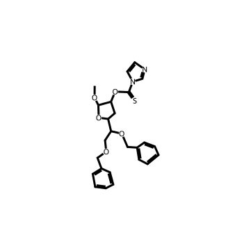 COC1OC(C(COCc2ccccc2)OCc2ccccc2)CC1OC(=S)n1ccnc1